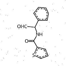 O=CC(NC(=O)c1cccs1)c1ccccc1